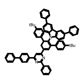 CC(C)(C)c1ccc(C2=C(n3c4ccc(-c5ccccc5)cc4c4cc(-c5ccccc5)ccc43)C(c3ccc(C(C)(C)C)cc3)CC(c3cc(-c4ccc(-c5ccccc5)cc4)nc(-c4ccccc4)n3)=C2)cc1